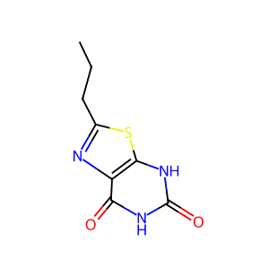 CCCc1nc2c(=O)[nH]c(=O)[nH]c2s1